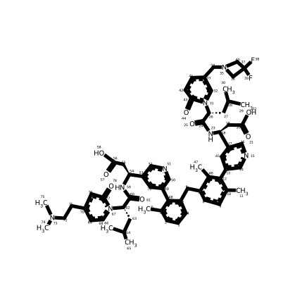 Cc1cccc(Cc2ccc(C)c(-c3cncc([C@H](CC(=O)O)NC(=O)[C@@H](CC(C)C)n4cc(CN5CC(F)(F)C5)ccc4=O)c3)c2C)c1-c1cncc([C@H](CC(=O)O)NC(=O)[C@H](CC(C)C)n2ccc(CCN(C)C)cc2=O)c1